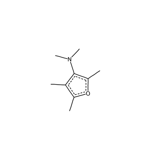 Cc1oc(C)c(N(C)C)c1C